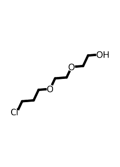 OCCOCCOCCCCl